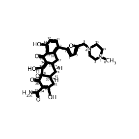 CN1CCN(Cc2ccc(-c3ccc(O)c4c3C[C@H]3C[C@H]5CC(O)=C(C(N)=O)C(=O)[C@@]5(O)C(O)=C3C4=O)o2)CC1